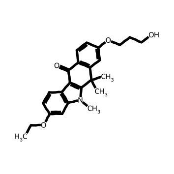 CCOc1ccc2c3c(n(C)c2c1)C(C)(C)c1cc(OCCCO)ccc1C3=O